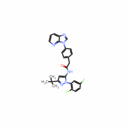 CC(C)(C)c1cc(NC(=O)Cc2ccc(-n3cnc4cccnc43)cc2)n(-c2cc(F)ccc2F)n1